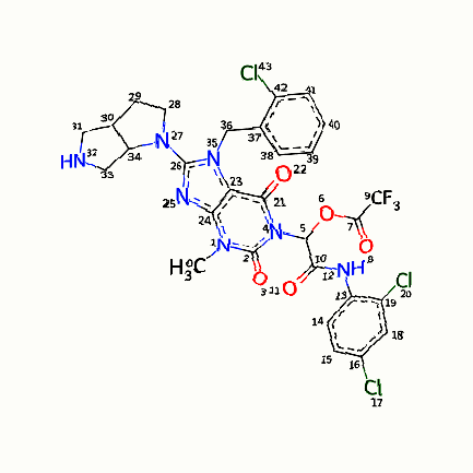 Cn1c(=O)n(C(OC(=O)C(F)(F)F)C(=O)Nc2ccc(Cl)cc2Cl)c(=O)c2c1nc(N1CCC3CNCC31)n2Cc1ccccc1Cl